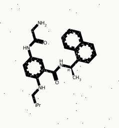 CC(C)CNc1ccc(NC(=O)CN)cc1C(=O)N[C@H](C)c1cccc2ccccc12